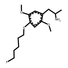 COc1cc(SCCCCCF)c(OC)cc1CC(C)N